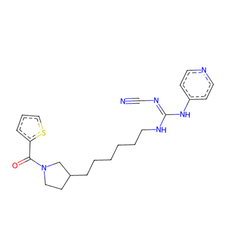 N#CN=C(NCCCCCCC1CCN(C(=O)c2cccs2)C1)Nc1ccncc1